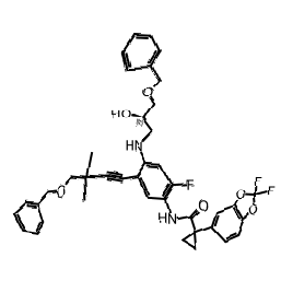 CC(C)(C#Cc1cc(NC(=O)C2(c3ccc4c(c3)OC(F)(F)O4)CC2)c(F)cc1NC[C@@H](O)COCc1ccccc1)COCc1ccccc1